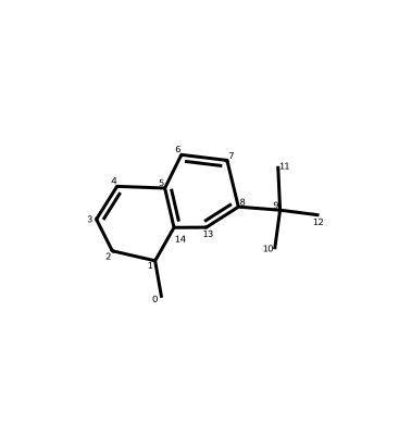 CC1CC=Cc2ccc(C(C)(C)C)cc21